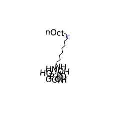 CCCCCCCC/C=C\CCCCCCCNNC(P(=O)(O)O)P(=O)(O)O